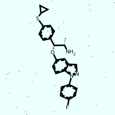 C[C@H](N)[C@H](Oc1ccc2c(cnn2-c2ccc(F)cc2)c1)c1ccc(SC2CC2)cc1